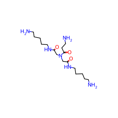 NCCCCCNC(=O)CN(CC(=O)NCCCCCN)C(=O)CCN